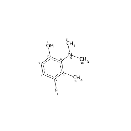 Cc1c(F)ccc(O)c1N(C)C